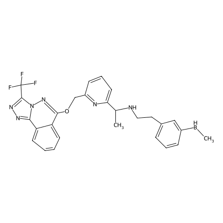 CBc1cccc(CCNC(C)c2cccc(COc3nn4c(C(F)(F)F)nnc4c4ccccc34)n2)c1